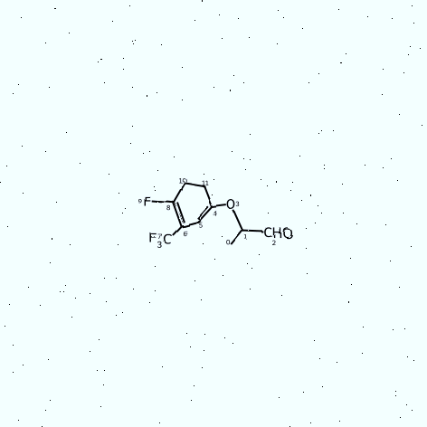 CC(C=O)OC1=CC(C(F)(F)F)=C(F)CC1